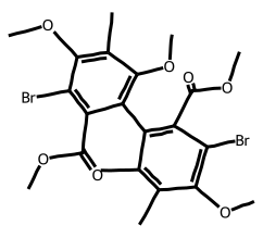 COC(=O)c1c(Br)c(OC)c(C)c(C)c1-c1c(OC)c(C)c(OC)c(Br)c1C(=O)OC